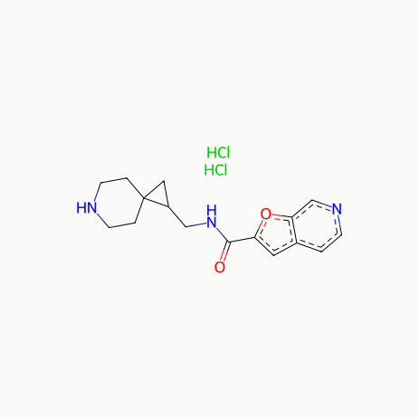 Cl.Cl.O=C(NCC1CC12CCNCC2)c1cc2ccncc2o1